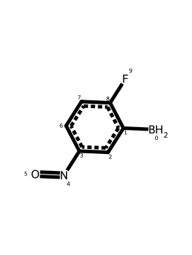 Bc1cc(N=O)ccc1F